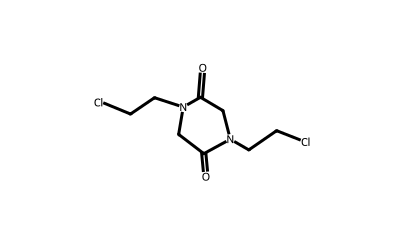 O=C1CN(CCCl)C(=O)CN1CCCl